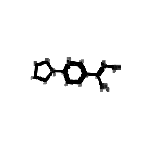 N/C(=N\O)c1ccc(N2CCCC2)nc1